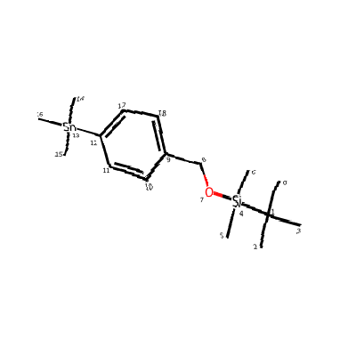 CC(C)(C)[Si](C)(C)OCc1cc[c]([Sn]([CH3])([CH3])[CH3])cc1